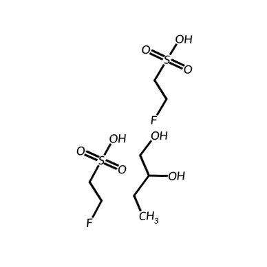 CCC(O)CO.O=S(=O)(O)CCF.O=S(=O)(O)CCF